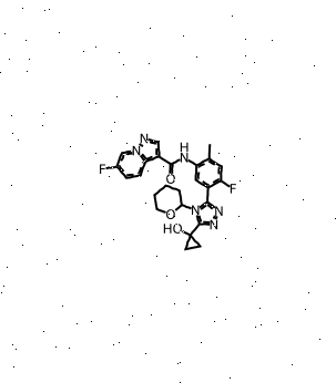 Cc1cc(F)c(-c2nnc(C3(O)CC3)n2C2CCCCO2)cc1NC(=O)c1cnn2cc(F)ccc12